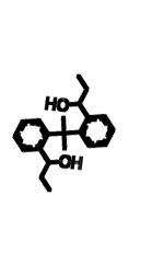 CCC(O)c1ccccc1C(C)(C)c1ccccc1C(O)CC